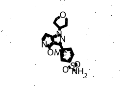 COc1nccc2c1c(-c1ccc(S(N)(=O)=O)cc1)nn2C1CCOCC1